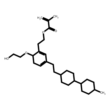 C=C(C)C(=O)OCCC1=CC(CCC2CCC(C3CCC(C)CC3)CC2)=CCC1OCCO